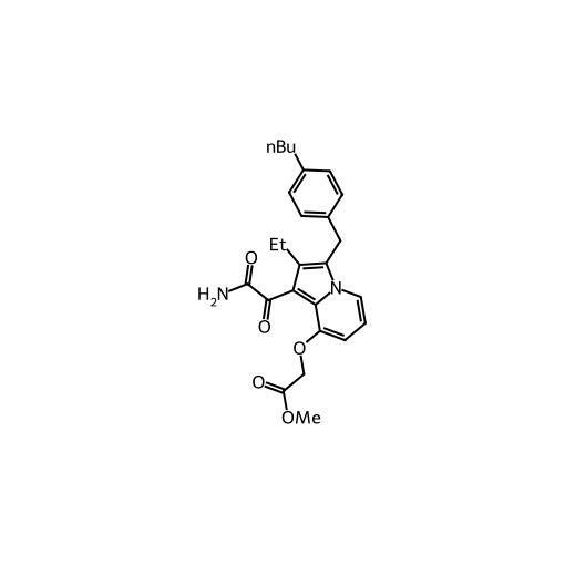 CCCCc1ccc(Cc2c(CC)c(C(=O)C(N)=O)c3c(OCC(=O)OC)cccn23)cc1